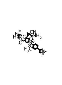 Cn1cc(-c2ccc(S(=O)(=O)[C@@H]3C[C@@H](C(=O)N4CC(F)(F)C4)[C@](C(=O)O)(C4CC4(C#N)C(N)=O)C3)c(C(F)(F)F)c2)cn1